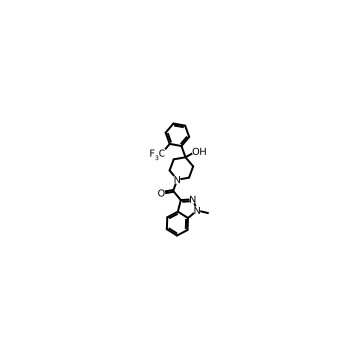 Cn1nc(C(=O)N2CCC(O)(c3ccccc3C(F)(F)F)CC2)c2ccccc21